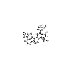 Cc1cn(C(C)C)c2cc(-c3c4c5c(cccc5n3C(C)C)/C(=C/C(=O)O)CC4)cc(/C=C/C(=O)O)c12